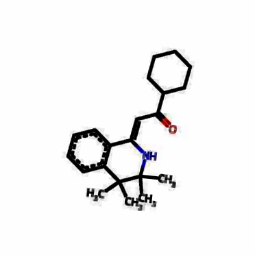 CC1(C)NC(=CC(=O)C2CCCCC2)c2ccccc2C1(C)C